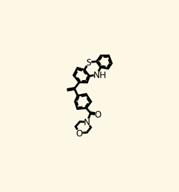 C=C(c1ccc(C(=O)N2CCOCC2)cc1)c1ccc2c(c1)Nc1ccccc1S2